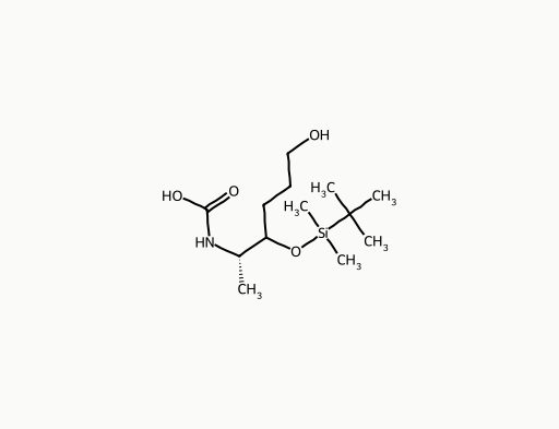 C[C@H](NC(=O)O)C(CCCO)O[Si](C)(C)C(C)(C)C